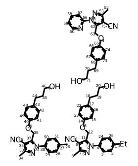 CCc1ccc(-n2nc(C)c(C#N)c2COc2ccc(CCCO)cc2)cc1.Cc1ccc(-n2nc(C)c(C#N)c2COc2ccc(CCCO)cc2)cc1.Cc1nn(-c2ccccn2)c(COc2ccc(CCCO)cc2)c1C#N